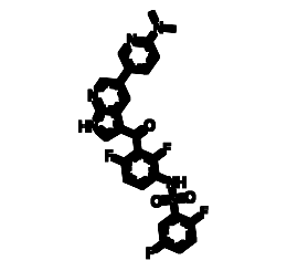 CN(C)c1ccc(-c2cnc3[nH]cc(C(=O)c4c(F)ccc(NS(=O)(=O)c5cc(F)ccc5F)c4F)c3c2)cn1